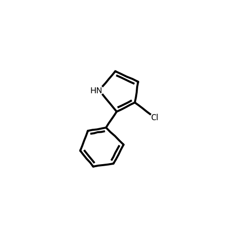 Clc1cc[nH]c1-c1ccccc1